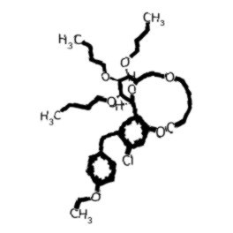 CCCCO[C@@H]1[C@@H](OCCCC)[C@H]2O[C@H](COCCCCCOc3cc(Cl)c(Cc4ccc(OCC)cc4)cc32)[C@H]1OCCCC